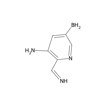 Bc1cnc(C=N)c(N)c1